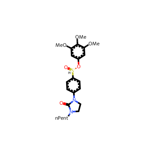 CCCCCN1CCN(c2ccc([S@](=O)Oc3cc(OC)c(OC)c(OC)c3)cc2)C1=O